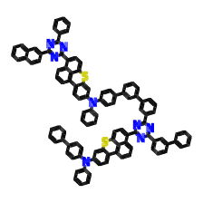 c1ccc(-c2ccc(N(c3ccccc3)c3ccc4c(c3)Sc3ccc(-c5nc(-c6cccc(-c7ccccc7)c6)nc(-c6cccc(-c7cccc(-c8ccc(N(c9ccccc9)c9ccc%10c(c9)Sc9ccc(-c%11nc(-c%12ccccc%12)nc(-c%12ccc%13ccccc%13c%12)n%11)c%11cccc-%10c9%11)cc8)c7)c6)n5)c5cccc-4c35)cc2)cc1